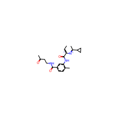 C/C=C(\N=C(/C)C1CC1)C(=O)Nc1cc(C(=O)NCCC(C)=O)ccc1C